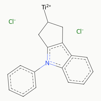 [Cl-].[Cl-].[Ti+2][CH]1Cc2c(n(-c3ccccc3)c3ccccc23)C1